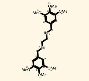 COc1cc(CNCCNCc2cc(OC)c(OC)c(OC)c2)cc(OC)c1OC